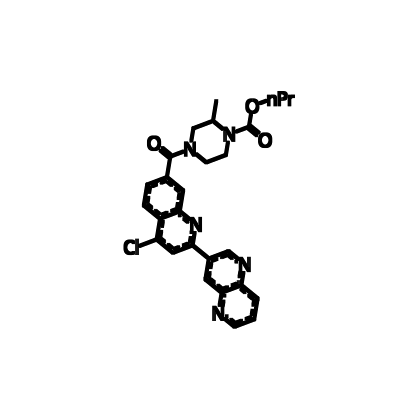 CCCOC(=O)N1CCN(C(=O)c2ccc3c(Cl)cc(-c4cnc5cccnc5c4)nc3c2)CC1C